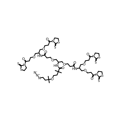 CC(C)(CCN=[N+]=[N-])OCCC(C)(C)C(=O)NC(COCCC(=O)NC(COCCC(=O)N1CCSC1=S)COCCC(=O)N1CCSC1=S)COCCC(=O)NC(COCCC(=O)N1CCSC1=S)COCCC(=O)N1CCSC1=S